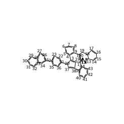 C=C1C2=C(c3ccccc3C3=CN=C4C=CC=CC4C3)C(c3ccc(-c4ccc5ccccc5c4)cc3)C=C2c2ccccc21